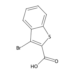 O=C(O)c1sc2ccccc2c1Br